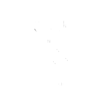 Cc1ccnc(Nc2cc3cc[nH]c(=O)c3c(N3CC[C@@H](CO)C3)n2)c1